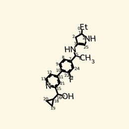 CCC1CC(N[C@@H](C)c2ccc(-c3ccnc(C(O)C4CC4)c3)c(F)c2)=CN1